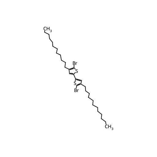 CCCCCCCCCCCCc1cc(-c2cc(CCCCCCCCCCCC)c(Br)s2)sc1Br